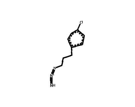 N=[N+]=NCCCc1ccc(Cl)cc1